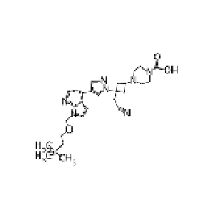 C[Si](C)(C)CCOCn1ccc2c(-c3cnn(C4(CC#N)CC(N5CCN(C(=O)O)CC5)C4)c3)ccnc21